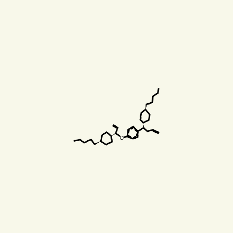 C=CCC(c1ccc(OC(C=C)[C@H]2CC[C@H](CCCCC)CC2)cc1)[C@H]1CC[C@H](CCCCC)CC1